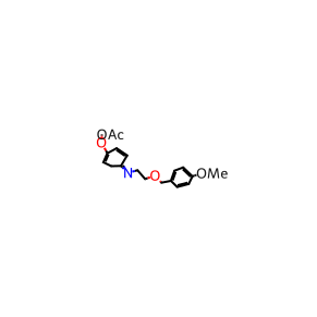 COc1ccc(COCCN=C2C=CC(OOC(C)=O)=CC2)cc1